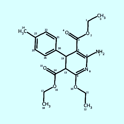 CCOC(=O)C1=C(N)N=C(OCC)C(C(=O)OCC)C1c1ccc(C)cc1